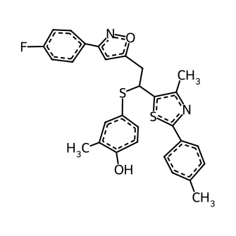 Cc1ccc(-c2nc(C)c(C(Cc3cc(-c4ccc(F)cc4)no3)Sc3ccc(O)c(C)c3)s2)cc1